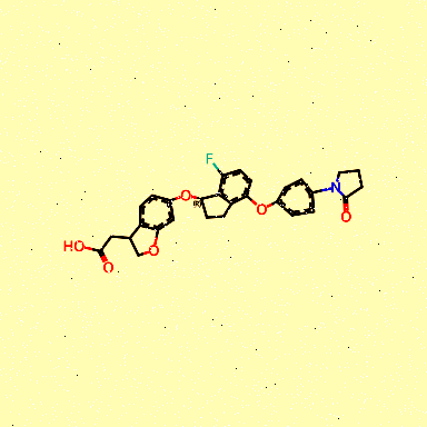 O=C(O)CC1COc2cc(O[C@@H]3CCc4c(Oc5ccc(N6CCCC6=O)cc5)ccc(F)c43)ccc21